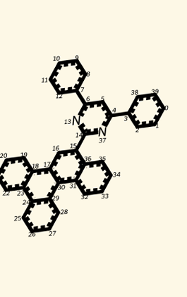 c1ccc(-c2cc(-c3ccccc3)nc(-c3cc4c5ccccc5c5ccccc5c4c4ccccc34)n2)cc1